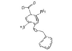 Bc1cc(C(=O)Cl)c(P)cc1OCc1ccccc1